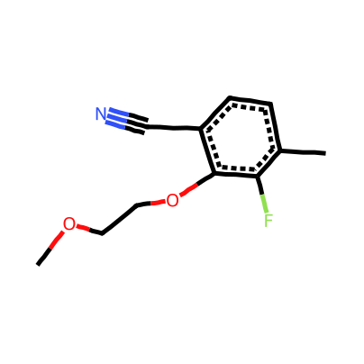 COCCOc1c(C#N)ccc(C)c1F